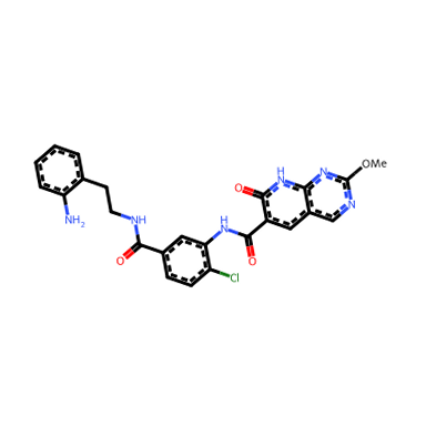 COc1ncc2cc(C(=O)Nc3cc(C(=O)NCCc4ccccc4N)ccc3Cl)c(=O)[nH]c2n1